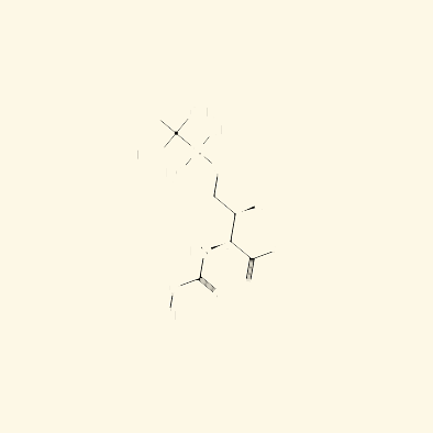 COC(=O)N[C@H](C(C)=O)[C@H](C)CO[Si](C)(C)C(C)(C)C